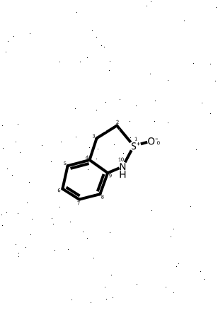 [O-][S+]1CCc2ccccc2N1